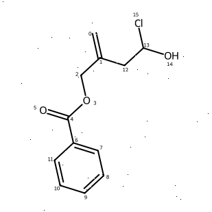 C=C(COC(=O)c1ccccc1)CC(O)Cl